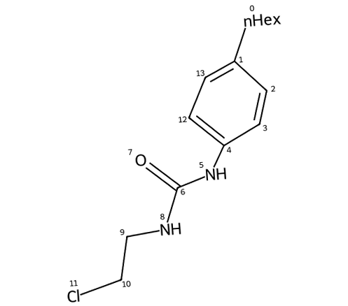 CCCCCCc1ccc(NC(=O)NCCCl)cc1